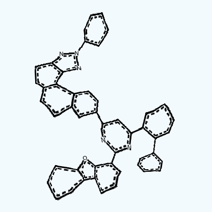 c1ccc(-c2ccccc2-c2cc(-c3ccc4c(ccc5ccc6nn(-c7ccccc7)nc6c54)c3)nc(-c3cccc4c3oc3ccccc34)n2)cc1